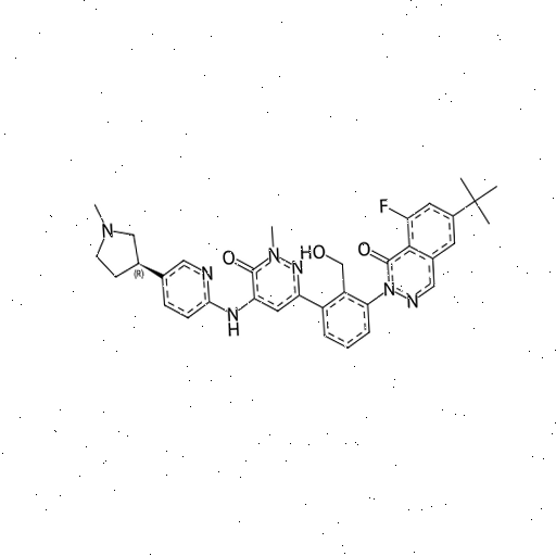 CN1CC[C@H](c2ccc(Nc3cc(-c4cccc(-n5ncc6cc(C(C)(C)C)cc(F)c6c5=O)c4CO)nn(C)c3=O)nc2)C1